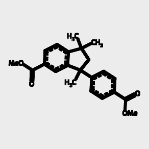 COC(=O)c1ccc(C2(C)CC(C)(C)c3ccc(C(=O)OC)cc32)cc1